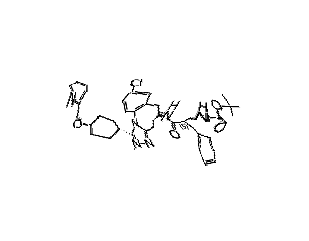 CC(C)(C)OC(=O)N[C@H](C(=O)N[C@@H]1Cc2cc(Cl)ccc2-n2c(nnc2[C@H]2CC[C@H](Oc3ccccn3)CC2)C1)c1ccccc1